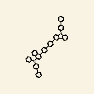 c1ccc(-c2ccc(N(c3ccccc3)c3ccc(-c4ccc(-c5ccc(-c6ccc7c(c6)c6ccccc6n7-c6ccc(-c7ccccc7)cc6)cc5)cc4)c4ccccc34)cc2)cc1